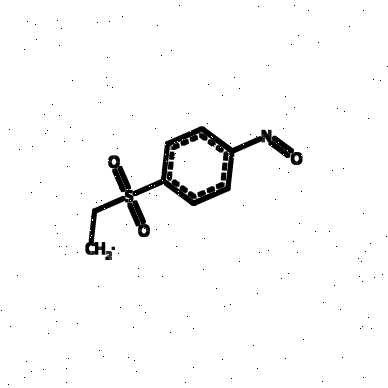 [CH2]CS(=O)(=O)c1ccc(N=O)cc1